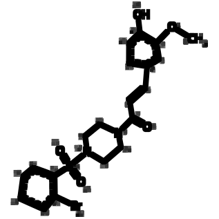 COc1cc(/C=C/C(=O)N2CCN(S(=O)(=O)c3ccccc3Br)CC2)ccc1O